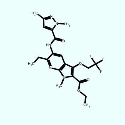 CCOC(=O)c1c(OCC(F)(F)F)c2cc(NC(=O)c3cc(C)nn3C)c(CC)nc2n1C